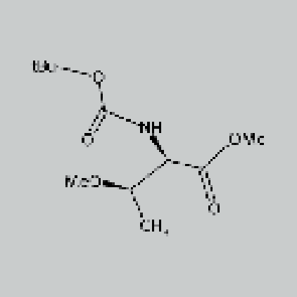 COC(=O)[C@H](NC(=O)OC(C)(C)C)[C@@H](C)OC